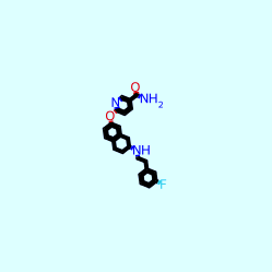 NC(=O)c1ccc(Oc2ccc3c(c2)CC(NCCc2cccc(F)c2)CC3)nc1